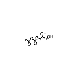 CC(=O)OC(=O)OCC(O)CO